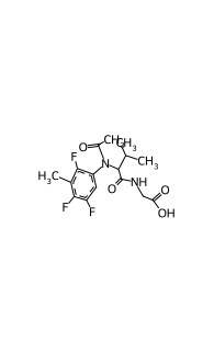 CC(=O)N(c1cc(F)c(F)c(C)c1F)C(C(=O)NCC(=O)O)C(C)C